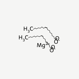 CCCCCCCC/C=C\CCCCCCCC(=O)[O-].CCCCCCCC/C=C\CCCCCCCC(=O)[O-].[Mg+2]